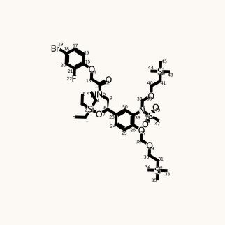 CC[Si](CC)(CC)O[C@@H](CNC(=O)COc1ccc(Br)cc1F)c1ccc(OCOCC[Si](C)(C)C)c(N(COCC[Si](C)(C)C)S(C)(=O)=O)c1